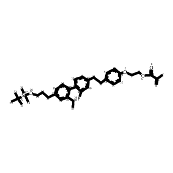 C=C(C)C(=O)OCCOc1ccc(CCc2ccc(-c3ccc(CCCO[Si](C)(C)C(C)(C)C)cc3CC)c(F)c2)cc1